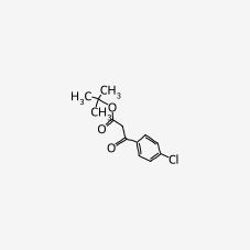 CC(C)(C)OC(=O)CC(=O)c1ccc(Cl)cc1